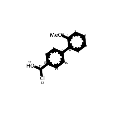 COc1ccccc1-c1ccc(C(O)Cl)cc1